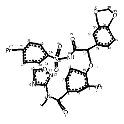 CCCc1cc(C(=O)N(C)c2ncon2)ccc1OC(C(=O)NS(=O)(=O)c1ccc(C(C)C)cc1)c1ccc2c(c1)OCO2